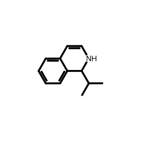 CC(C)C1NC=Cc2ccccc21